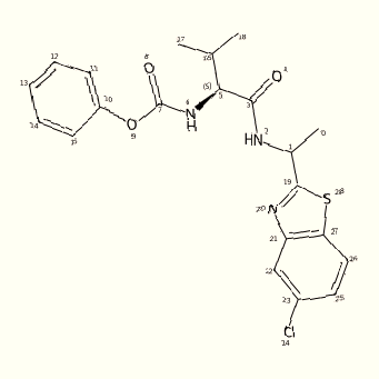 CC(NC(=O)[C@@H](NC(=O)Oc1ccccc1)C(C)C)c1nc2cc(Cl)ccc2s1